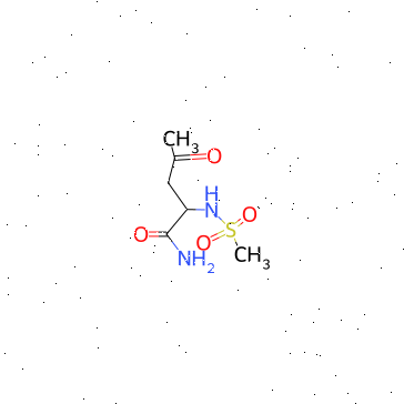 CC(=O)CC(NS(C)(=O)=O)C(N)=O